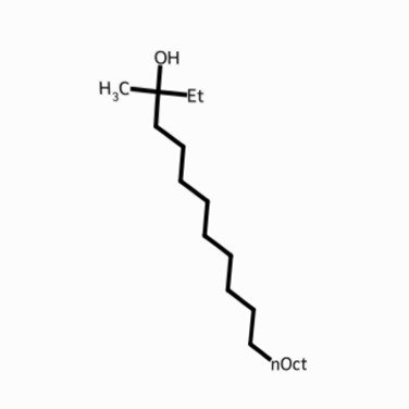 CCCCCCCCCCCCCCCCCC(C)(O)CC